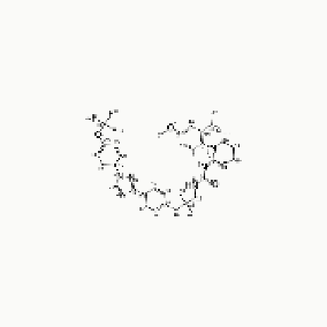 COc1ccc(N2/C(=N/C(=O)NCC(C)(C)Cc3ccc(-c4ncn(-c5ccc(OC(F)(F)F)cc5)n4)cc3)SCCC2C)c(C(C)C)c1